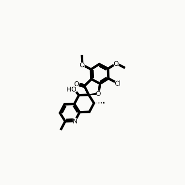 COc1cc(OC)c2c(c1Cl)O[C@]1(C2=O)C(O)c2ccc(C)nc2C[C@H]1C